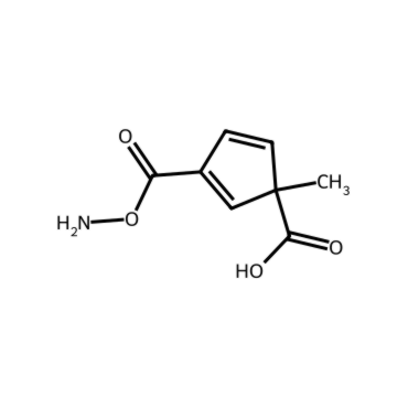 CC1(C(=O)O)C=CC(C(=O)ON)=C1